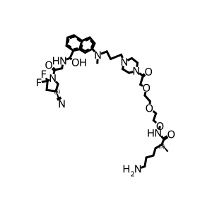 C[C@@H](CCCCN)C(=O)NOCCOCCOCC(=O)N1CCN(CCCN(C)c2ccc3cccc(C(O)NCC(=O)N4C[C@@H](C#N)CC4(F)F)c3c2)CC1